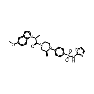 C=C1CN(C(=O)C(C)n2ccc3cc(OC)ccc32)CCN1c1ccc(S(=O)(=O)Nc2nccs2)cc1